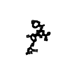 CNCC(O)COc1cc(Cl)cc(-c2nc(C(=O)OC)cc(N(C)C3CCOCC3)n2)c1